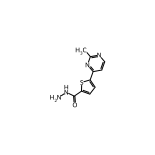 Cc1nccc(-c2ccc(C(=O)NN)s2)n1